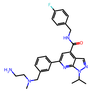 CC(C)n1ncc2c(C(=O)NCc3ccc(F)cc3)cc(-c3cccc(CN(C)CCN)c3)nc21